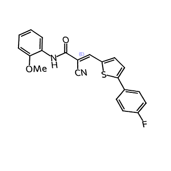 COc1ccccc1NC(=O)/C(C#N)=C/c1ccc(-c2ccc(F)cc2)s1